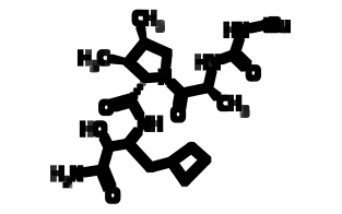 C[C@@H]1[C@@H](C(=O)NC(CC2CCC2)C(O)C(N)=O)N(C(=O)[C@H](C)NC(=O)NC(C)(C)C)C[C@@H]1C